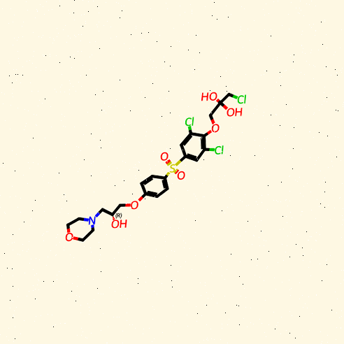 O=S(=O)(c1ccc(OC[C@H](O)CN2CCOCC2)cc1)c1cc(Cl)c(OCC(O)(O)CCl)c(Cl)c1